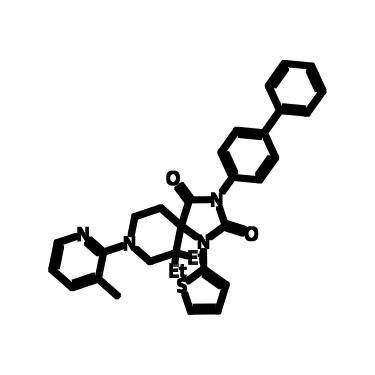 CCC1(CC)CN(c2ncccc2C)CCC12C(=O)N(c1ccc(-c3ccccc3)cc1)C(=O)N2c1cccs1